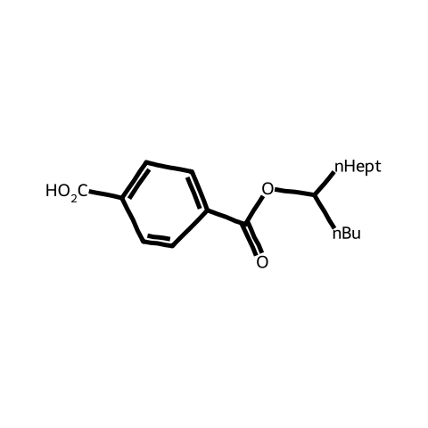 CCCCCCCC(CCCC)OC(=O)c1ccc(C(=O)O)cc1